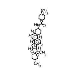 C[C@H]1CC[C@@]2(OC1)O[C@H]1C[C@H]3[C@@H]4CC[C@@H]5C[C@@H](NC(=O)N6CCN(C)CC6)CC[C@]5(C)[C@H]4CC[C@]3(C)[C@H]1[C@@H]2C